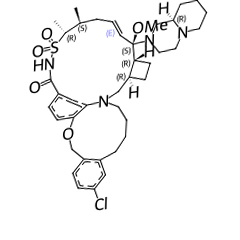 CO[C@]1(N2CCN3CCCC[C@@H]3C2)/C=C/C[C@H](C)[C@@H](C)S(=O)(=O)NC(=O)c2ccc3c(c2)N(CCCCc2cc(Cl)ccc2CO3)C[C@@H]2CC[C@H]21